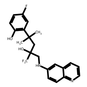 CC(C)(CC(O)(CNc1ccc2ncccc2c1)C(F)(F)F)c1cc(F)ccc1O